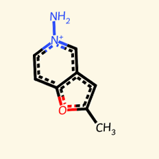 Cc1cc2c[n+](N)ccc2o1